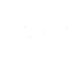 CC[C@@H](c1ccc(F)cc1)c1c[nH]c(C(=O)N2CCC[C@@]3(C2)OC(=O)Nc2ccc(Cl)c(F)c23)n1